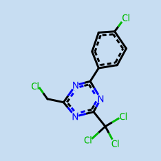 ClCc1nc(-c2ccc(Cl)cc2)nc(C(Cl)(Cl)Cl)n1